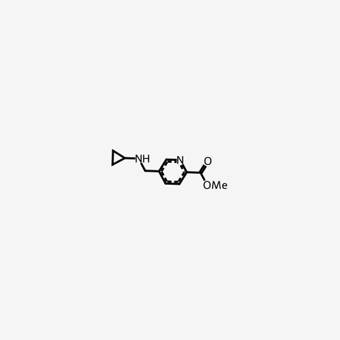 COC(=O)c1ccc(CNC2CC2)cn1